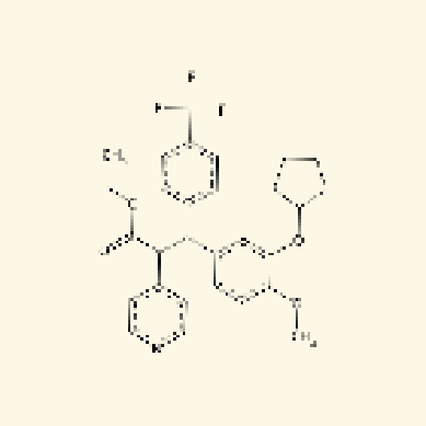 CCOC(=O)C(c1ccncc1)C(c1ccc(C(F)(F)F)cc1)c1ccc(OC)c(OC2CCCC2)c1